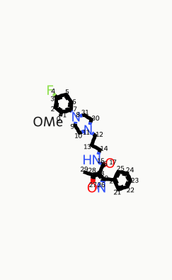 COc1cc(F)ccc1N1CCN(CCCNC(=O)c2c(-c3ccccc3)noc2C)CC1